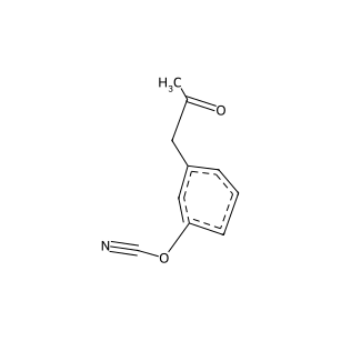 CC(=O)Cc1cccc(OC#N)c1